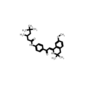 COc1ccc2c(c1)C(=CC(=O)c1ccc(NC(=O)CC(C)CC(C)(C)C)cc1)NC(C)(C)C2